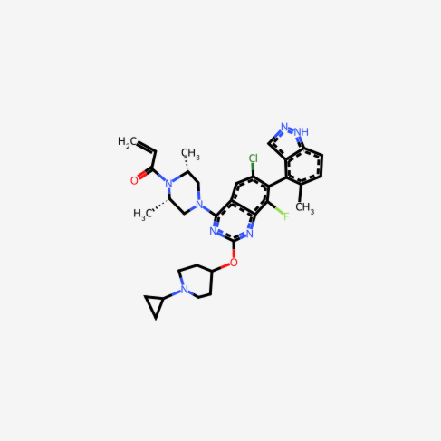 C=CC(=O)N1[C@H](C)CN(c2nc(OC3CCN(C4CC4)CC3)nc3c(F)c(-c4c(C)ccc5[nH]ncc45)c(Cl)cc23)C[C@@H]1C